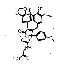 COc1ccc(C2(OC(=O)NCC(=O)O)OC(=O)C(c3ccc4c(c3)OCO4)=C2Cc2cc(OC)c(OC)c(OC)c2)cc1